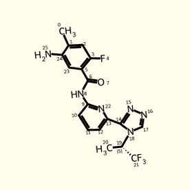 Cc1cc(F)c(C(=O)Nc2cccc(-c3nncn3[C@@H](C)C(F)(F)F)n2)cc1N